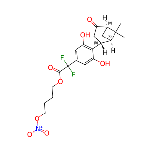 CC1(C)[C@@H]2C[C@H]1C(=O)C[C@H]2c1c(O)cc(C(F)(F)C(=O)OCCCCO[N+](=O)[O-])cc1O